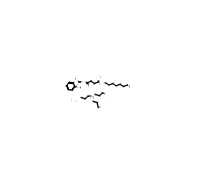 CCCCCCCCOC(=O)CCC(=O)Sc1nc2ccccc2[nH]1.CCCCN(CCCC)CCCC